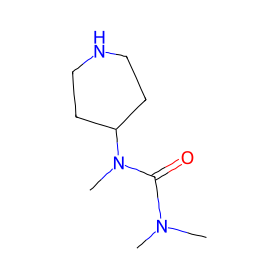 CN(C)C(=O)N(C)C1CCNCC1